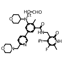 CCN(c1cc(-c2ccc(CN3CCOCC3)nc2)cc(C(=O)NCc2c(C(C)C)c(F)c(C)[nH]c2=O)c1C)C1CCOCC1.O=CO